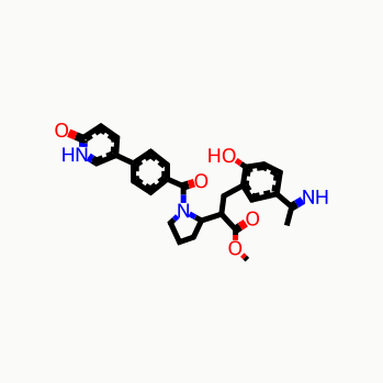 COC(=O)C(Cc1cc(C(C)=N)ccc1O)C1CCCN1C(=O)c1ccc(-c2ccc(=O)[nH]c2)cc1